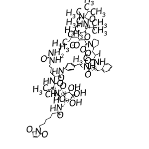 C=C(C)[C@@H](NC(=O)[C@H]1O[C@@H](CNC(=O)CCCCCN2C(=O)C=CC2=O)C(O)[C@@H](O)C1O)C(=O)NC(CCCNC(N)=O)C(=O)Nc1ccc(CCNC(=O)[C@H](Cc2ccccc2)NC(=O)C(I)C(OC)C2CCCN2C(=O)CC(OC)C(C(C)CC)C(C)C(=O)[C@@H](NC(=O)C(C(C)C)N(C)C)C(C)C)cc1